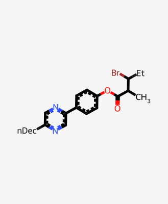 CCCCCCCCCCc1cnc(-c2ccc(OC(=O)C(C)C(Br)CC)cc2)cn1